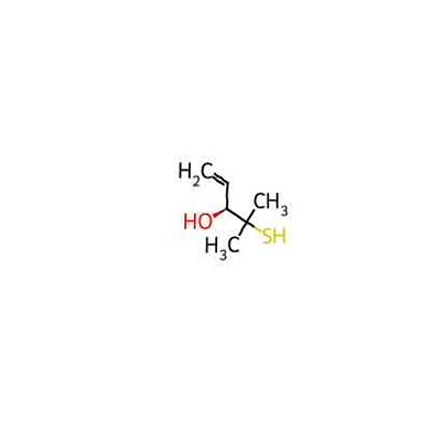 C=C[C@H](O)C(C)(C)S